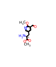 COC(=O)[C@@H](N)Cc1cnc(OC)c(C=O)c1